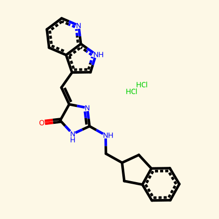 Cl.Cl.O=C1NC(NCC2Cc3ccccc3C2)=NC1=Cc1c[nH]c2ncccc12